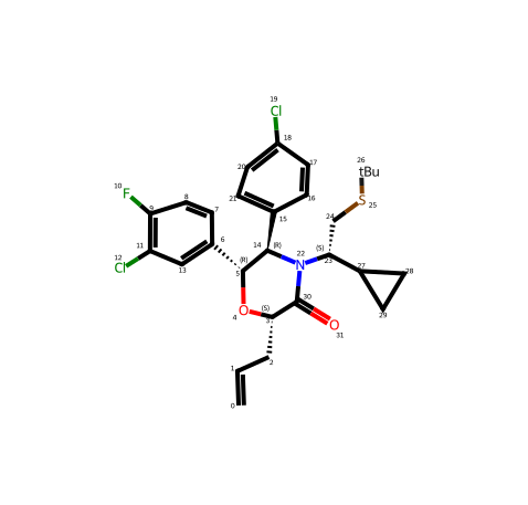 C=CC[C@@H]1O[C@H](c2ccc(F)c(Cl)c2)[C@@H](c2ccc(Cl)cc2)N([C@H](CSC(C)(C)C)C2CC2)C1=O